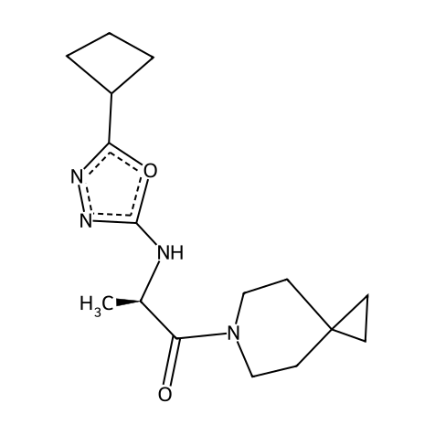 C[C@@H](Nc1nnc(C2CCC2)o1)C(=O)N1CCC2(CC1)CC2